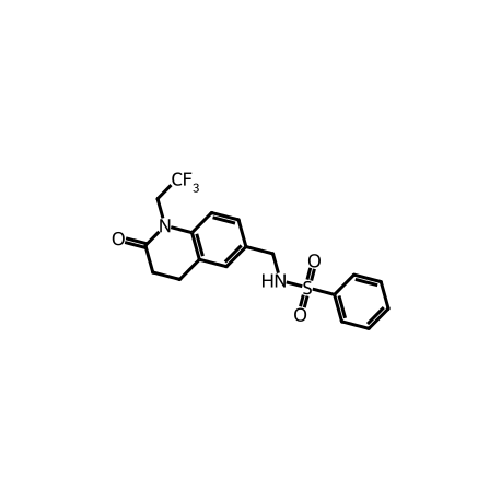 O=C1CCc2cc(CNS(=O)(=O)c3ccccc3)ccc2N1CC(F)(F)F